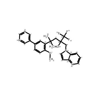 COc1ccc(-c2cncnc2)cc1C(C)(C)CC(O)(Cn1ccc2ncccc21)C(F)(F)F